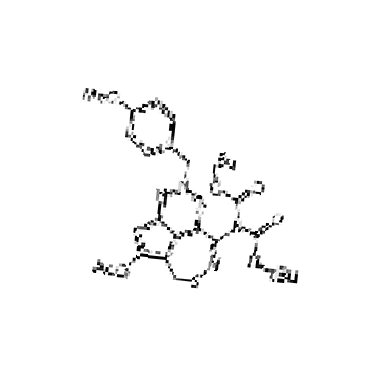 COc1ccc(Cn2nc3cc(OC(C)=O)c4c-3c(n2)C(N(C(=O)OC(C)(C)C)C(=O)OC(C)(C)C)=NSC4)cc1